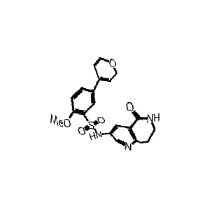 COc1ccc(C2=CCOCC2)cc1S(=O)(=O)Nc1cnc2c(c1)C(=O)NCC2